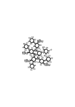 Cc1cc(C)c(-c2cc3c4c(c2)N(c2ccc(C(C)(C)C)c(-c5ccccc5)c2)c2cc(-c5ccccc5)c(C(C)(C)C)cc2B4c2cc(C(C)(C)C)c(-c4ccccc4)cc2N3c2ccc(C(C)(C)C)c(-c3ccccc3)c2)c(C)c1